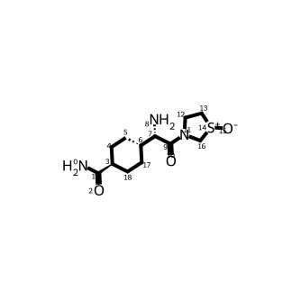 NC(=O)[C@H]1CC[C@H]([C@H](N)C(=O)N2CC[S+]([O-])C2)CC1